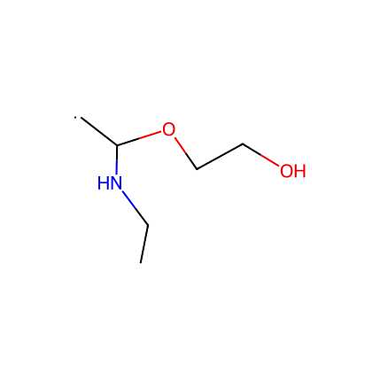 [CH2]C(NCC)OCCO